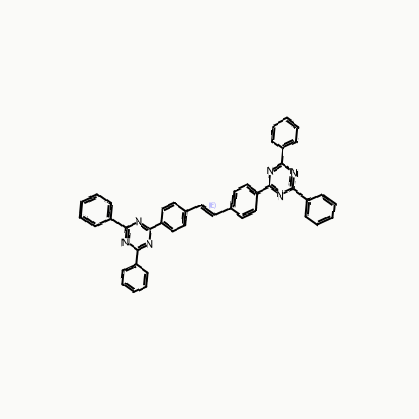 C(=C\c1ccc(-c2nc(-c3ccccc3)nc(-c3ccccc3)n2)cc1)/c1ccc(-c2nc(-c3ccccc3)nc(-c3ccccc3)n2)cc1